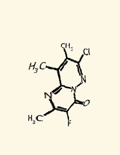 Cc1nc2c(C)c(C)c(Cl)nn2c(=O)c1F